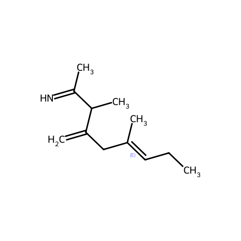 C=C(C/C(C)=C/CC)C(C)C(C)=N